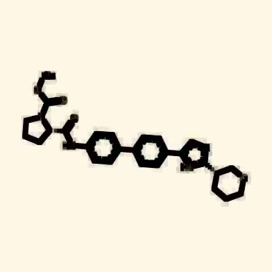 CC(C)(C)OC(=O)N1CCC[C@H]1C(=O)Nc1ccc(-c2ccc(-c3cnc([C@H]4CCCOC4)[nH]3)cc2)cc1